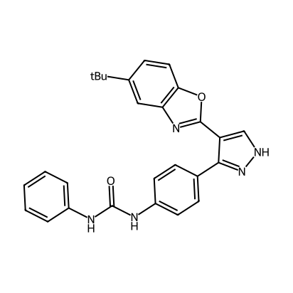 CC(C)(C)c1ccc2oc(-c3c[nH]nc3-c3ccc(NC(=O)Nc4ccccc4)cc3)nc2c1